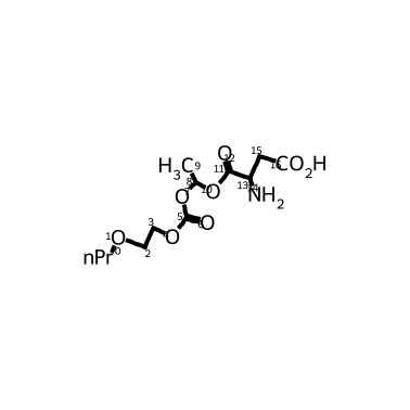 CCCOCCOC(=O)OC(C)OC(=O)C(N)CC(=O)O